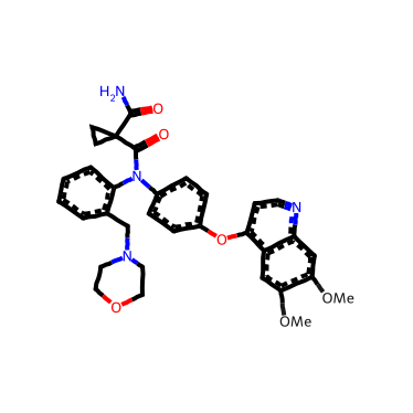 COc1cc2nccc(Oc3ccc(N(C(=O)C4(C(N)=O)CC4)c4ccccc4CN4CCOCC4)cc3)c2cc1OC